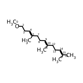 COCC/C=C(\C)CC/C=C(\C)CCC=C(C)C